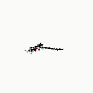 C#CCOCCOCCOCCOCCOCCOCCNC(=O)CC[C@@H](NC(=O)c1ccc(N(Cc2cnc3nc(N)[nH]c(=O)c3n2)C(=O)C(F)(F)F)cc1)C(=O)OC(C)(C)C